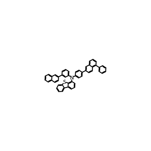 c1ccc(-c2cccc3cc(-c4ccc(N(c5cccc(-c6ccc7ccccc7c6)c5)c5cccc6c5sc5ccccc56)cc4)ccc23)cc1